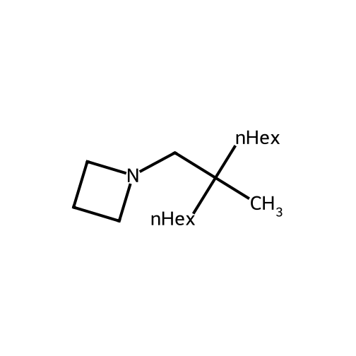 CCCCCCC(C)(CCCCCC)CN1CCC1